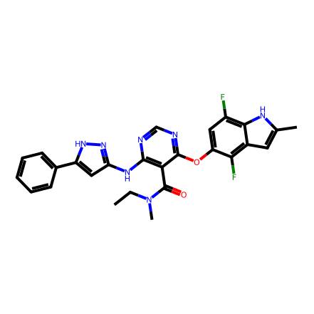 CCN(C)C(=O)c1c(Nc2cc(-c3ccccc3)[nH]n2)ncnc1Oc1cc(F)c2[nH]c(C)cc2c1F